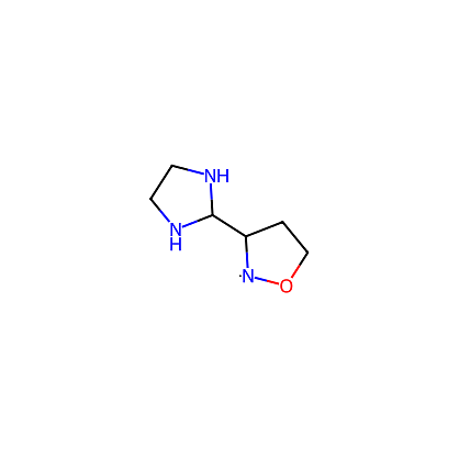 C1CNC(C2CCO[N]2)N1